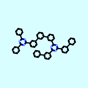 c1ccc(-c2cccc(-c3nc(-c4cccc(-c5ccccc5)c4)nc(-c4cccc(-c5cccc(-c6cccc(-c7nc(-c8ccccc8)nc(-c8ccccc8)n7)c6)c5)c4)n3)c2)cc1